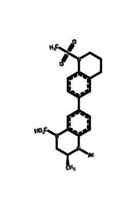 CC(=O)N1c2ccc(-c3ccc4c(c3)CCCN4S(C)(=O)=O)cc2N(C(=O)O)C[C@@H]1C